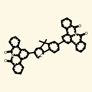 CC1(C)c2cc(-c3cc4c5ccccc5c(=O)n5c(=O)c6ccccc6c(c3)c45)ccc2-c2ccc(-c3cc4c5ccccc5c(=O)n5c(=O)c6ccccc6c(c3)c45)cc21